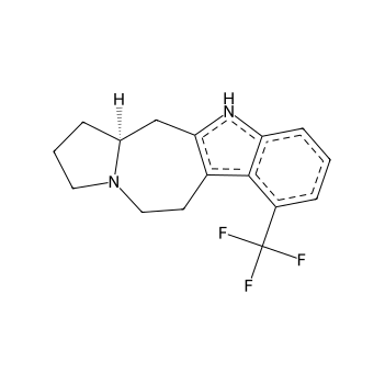 FC(F)(F)c1cccc2[nH]c3c(c12)CCN1CCC[C@H]1C3